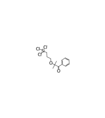 CC(C)(OCCC[Si](Cl)(Cl)Cl)C(=O)c1ccccc1